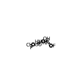 O=C(COc1ccc(Cl)c(F)c1)NC12CCC(C(=O)NCc3cccc(F)c3)(CC1)C(O)C2